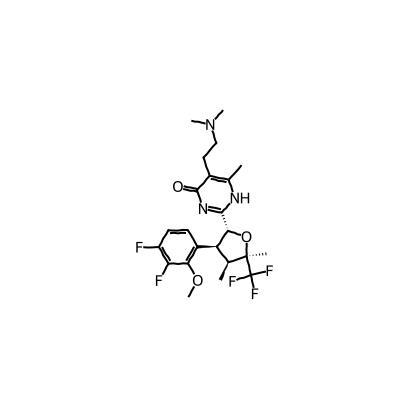 COc1c([C@H]2[C@H](c3nc(=O)c(CCN(C)C)c(C)[nH]3)O[C@@](C)(C(F)(F)F)[C@H]2C)ccc(F)c1F